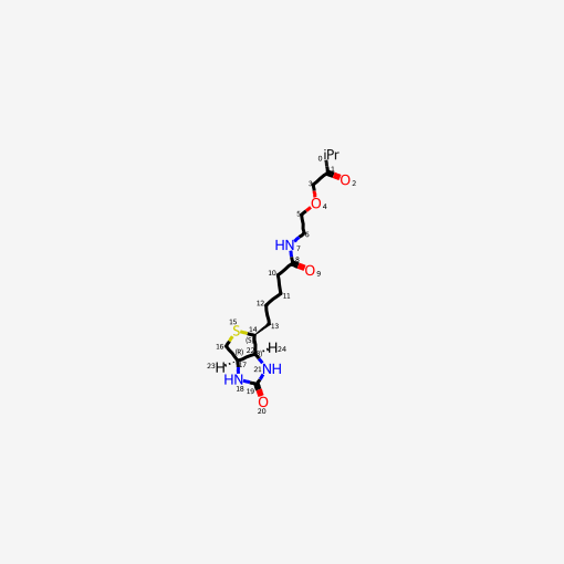 CC(C)C(=O)COCCNC(=O)CCCC[C@@H]1SC[C@@H]2NC(=O)N[C@@H]21